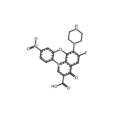 O=C(O)c1cn2c3c(c(N4CCNCC4)c(F)cc3c1=O)Oc1cc([N+](=O)[O-])ccc1-2